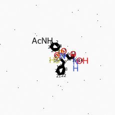 CC(=O)Nc1ccc(S(=O)(=O)N(CCC(=O)NO)C(S)Cc2ccccc2)cc1